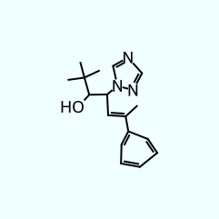 CC(=CC(C(O)C(C)(C)C)n1cncn1)c1ccccc1